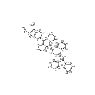 C=Cc1oc2cc(-c3c4ccccc4c(-c4ccc(CC5c6ccccc6-c6ccccc65)c5ccccc45)c4ccccc34)ccc2c1C=C